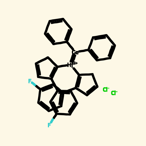 Fc1cccc(C2=[C]([Hf+2]([C]3=C(c4cccc(F)c4)C=CC3)=[Ge]([c]3ccccc3)[c]3ccccc3)CC=C2)c1.[Cl-].[Cl-]